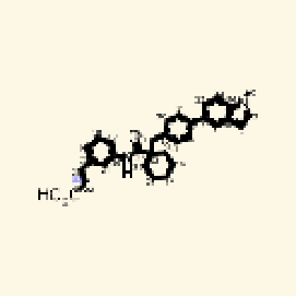 Cn1ccc2cc(-c3ccc(CC4(C(=O)Nc5cccc(/C=C/C(=O)O)c5)CCCCC4)cc3)ccc21